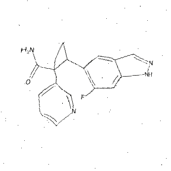 NC(=O)C1(c2cccnc2)CC1c1cc2cn[nH]c2cc1F